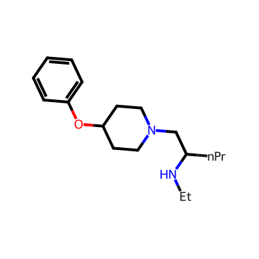 [CH2]CNC(CCC)CN1CCC(Oc2ccccc2)CC1